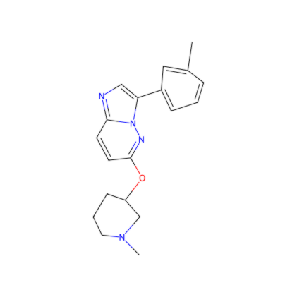 Cc1cccc(-c2cnc3ccc(OC4CCCN(C)C4)nn23)c1